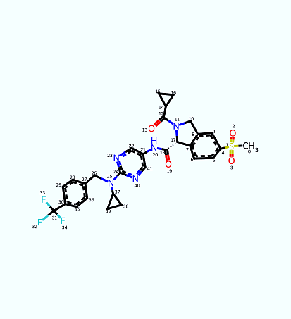 CS(=O)(=O)c1ccc2c(c1)CN(C(=O)C1CC1)[C@H]2C(=O)Nc1cnc(N(Cc2ccc(C(F)(F)F)cc2)C2CC2)nc1